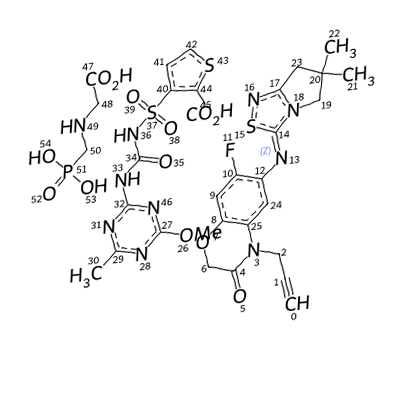 C#CCN1C(=O)COc2cc(F)c(/N=c3\snc4n3CC(C)(C)C4)cc21.COc1nc(C)nc(NC(=O)NS(=O)(=O)c2ccsc2C(=O)O)n1.O=C(O)CNCP(=O)(O)O